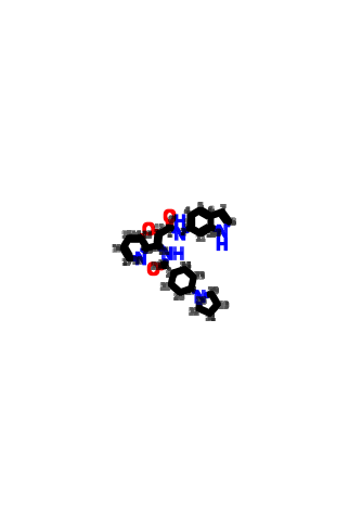 O=C(Nc1ccc2cc[nH]c2c1)c1oc2cccnc2c1NC(=O)[C@H]1CC[C@H](N2CCCC2)CC1